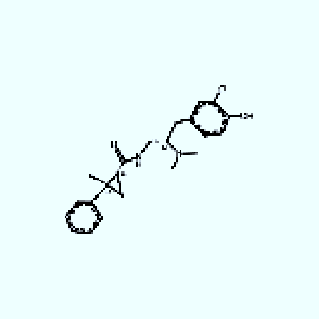 CN(C)[C@H](CNC(=O)[C@@H]1C[C@]1(C)c1ccccc1)Cc1ccc(O)c(Cl)c1